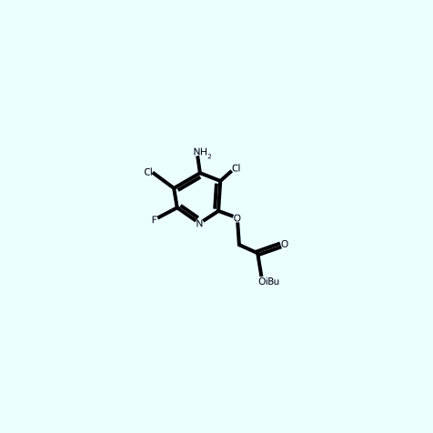 CC(C)COC(=O)COc1nc(F)c(Cl)c(N)c1Cl